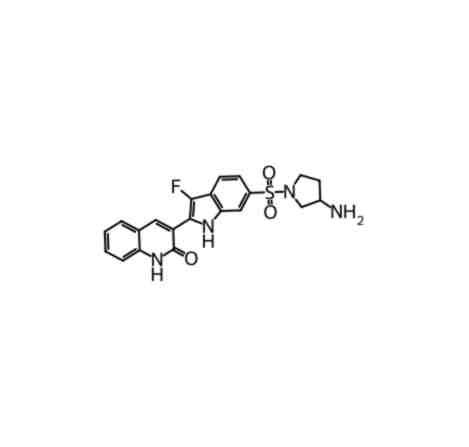 NC1CCN(S(=O)(=O)c2ccc3c(F)c(-c4cc5ccccc5[nH]c4=O)[nH]c3c2)C1